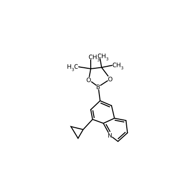 CC1(C)OB(c2cc(C3CC3)c3ncccc3c2)OC1(C)C